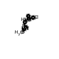 COc1cnc2c(Oc3ccc(Nc4nnc(-c5ccc(Cl)cc5)c5ccccc45)cc3)ccnc2c1